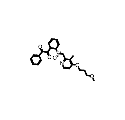 COCCCOc1ccnc(C[S+]([O-])C2C=CC=CC2C(=O)C(=O)c2ccccc2)c1C